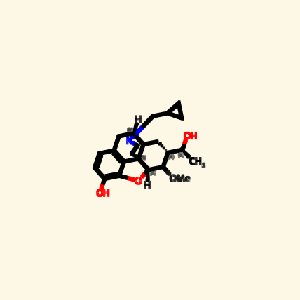 COC1[C@@H]([C@H](C)O)CC2[C@H]3Cc4ccc(O)c5c4[C@@]2(CCN3CC2CC2)[C@H]1O5